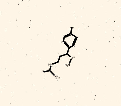 Cc1ccc(C(CCNC(C)N)ON)cc1